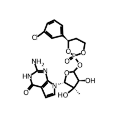 C[C@@]1(O)[C@H](O)C(OP2(=O)OCC[C@H](c3cccc(Cl)c3)O2)O[C@H]1n1ccc2c(=O)[nH]c(N)nc21